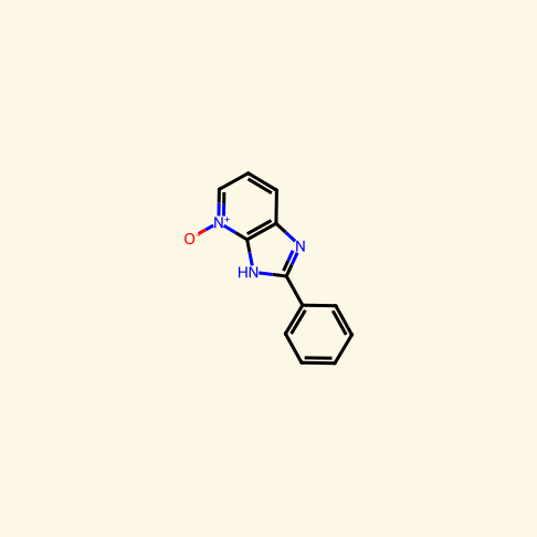 [O-][n+]1cccc2nc(-c3ccccc3)[nH]c21